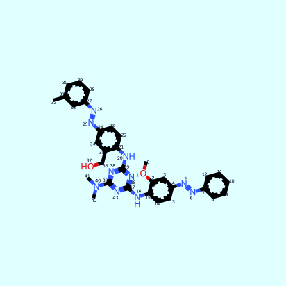 COc1cc(N=Nc2ccccc2)ccc1Nc1nc(Nc2ccc(N=Nc3cccc(C)c3)cc2CO)nc(N(C)C)n1